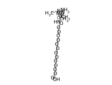 CCCCc1nc2c(N)nnc(OC(C)C)c2n1C[C@H]1CC[C@H](CNC(=O)CCOCCOCCOCCOCCOCCOCCOCCOCCOCCOCCOCCOCCC(=O)O)CC1